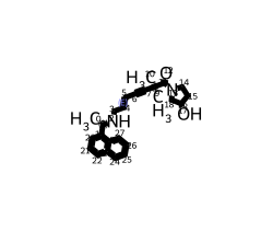 C[C@@H](NC/C=C/C#CC(C)(C)C(=O)N1CCC(O)C1)c1cccc2ccccc12